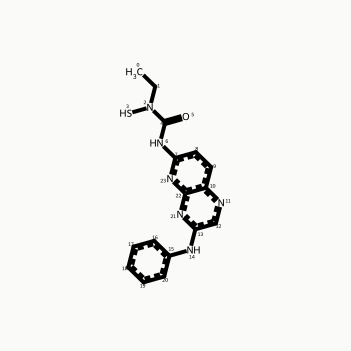 CCN(S)C(=O)Nc1ccc2ncc(Nc3ccccc3)nc2n1